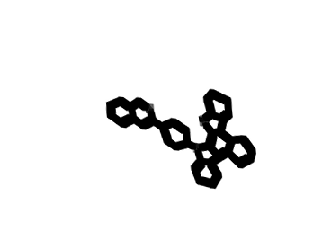 C1=CC(n2c3ccccc3c3c4ccccc4c4c5ccccc5sc4c32)CC=C1c1cc2ccccc2cn1